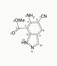 COC(=O)c1c(N)c(C#N)cc2cn[nH]c12